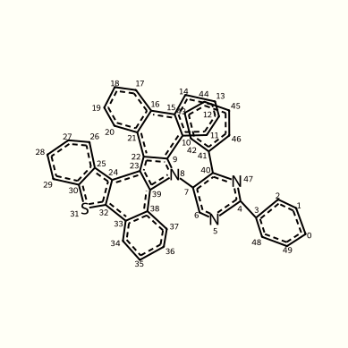 c1ccc(-c2ncc(-n3c4c5ccccc5c5ccccc5c4c4c5c6ccccc6sc5c5ccccc5c43)c(-c3ccccc3)n2)cc1